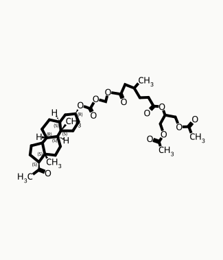 CC(=O)OCC(COC(C)=O)OC(=O)CCC(C)CC(=O)OCOC(=O)O[C@@H]1CC[C@@]2(C)[C@@H](CC[C@H]3C4CC[C@H](C(C)=O)[C@@]4(C)CC[C@@H]32)C1